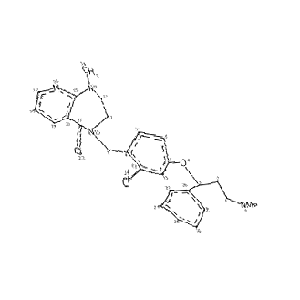 CNCCC(Oc1ccc(CN2CCN(C)c3ncccc3C2=O)c(Cl)c1)c1ccccc1